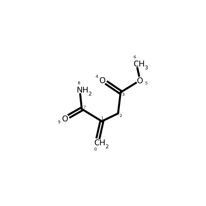 C=C(CC(=O)OC)C(N)=O